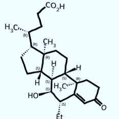 CC[C@H]1C2=CC(=O)CC[C@]2(C)[C@H]2CC[C@]3(C)[C@@H]([C@H](C)CCC(=O)O)CC[C@H]3[C@@H]2[C@@H]1O